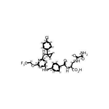 NC(=O)C(=O)NCC(NC(=O)c1ccc(Nc2nc(NC3(c4ccc(Cl)cc4)CC3)nc(OCC(F)(F)F)n2)cc1)C(=O)O